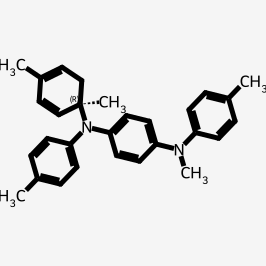 CC1=CC[C@@](C)(N(c2ccc(C)cc2)c2ccc(N(C)c3ccc(C)cc3)cc2)C=C1